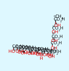 C.O=C(O)O.O=C(O)O.O=C(O)O.O=C(O)O.O=C(O)O.O=C(O)O.O=C(O)O.O=C(O)O.O=C(O)O.O=C(O)O.O=C(O)O.O=C(O)O.O=C(O)O.O=C(O)O.O=C(O)O.O=C(O)O.O=C(O)O